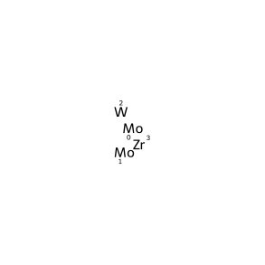 [Mo].[Mo].[W].[Zr]